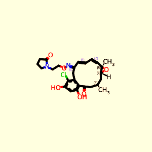 C[C@H]1CC(=O)c2c(O)cc(O)c(Cl)c2CC(=N\OCCN2CCCC2=O)/C=C/C=C\[C@@]2(C)O[C@@H]2C1